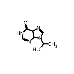 CC(C)N1C=NC2C(=O)NC=NC21